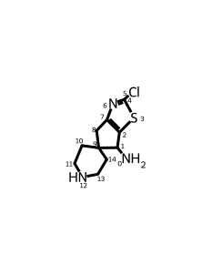 NC1c2sc(Cl)nc2CC12CCNCC2